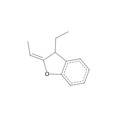 C/C=C1/Oc2ccccc2C1CC